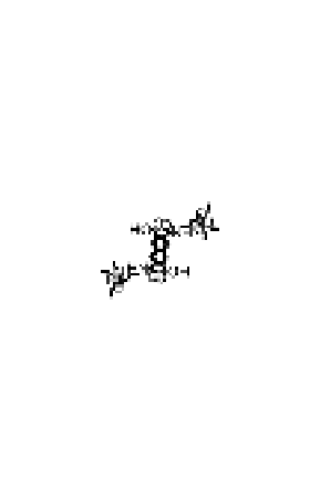 CCO[Si](CCCNC(=O)c1cc2cc(C(=O)O)c(C(=O)NCCC[Si](OCC)(OCC)OCC)cc2cc1C(=O)O)(OCC)OCC